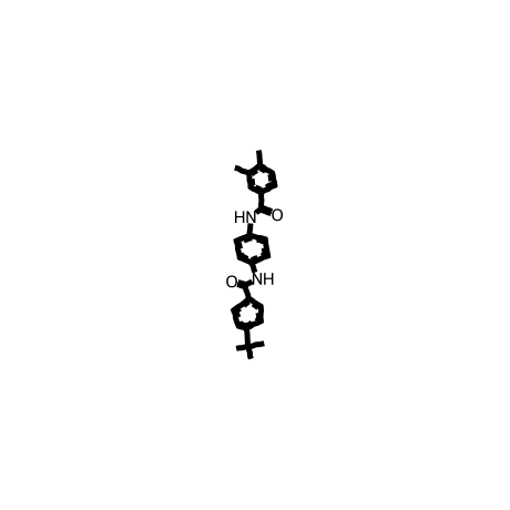 Cc1ccc(C(=O)Nc2ccc(NC(=O)c3ccc(C(C)(C)C)cc3)cc2)cc1C